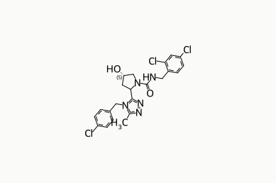 Cc1nnc(C2C[C@H](O)CN2C(=O)NCc2ccc(Cl)cc2Cl)n1Cc1ccc(Cl)cc1